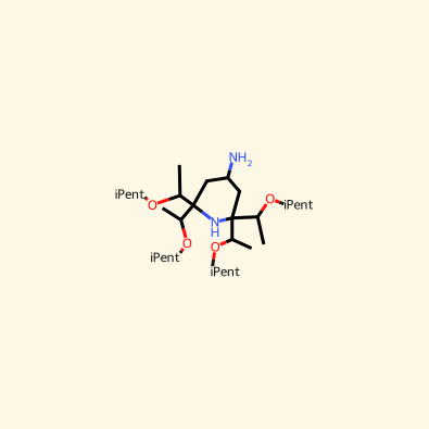 CCCC(C)OC(C)C1(C(C)OC(C)CCC)CC(N)CC(C(C)OC(C)CCC)(C(C)OC(C)CCC)N1